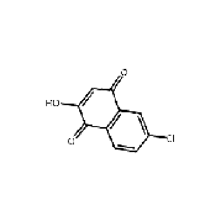 O=C1C=C(O)C(=O)c2ccc(Cl)cc21